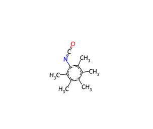 Cc1c(C)c(C)c(N=C=O)c(C)c1C